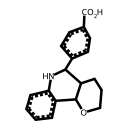 O=C(O)c1ccc(C2Nc3ccccc3C3OCCCC23)cc1